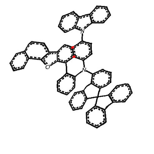 c1ccc(N(c2ccc(-n3c4ccccc4c4ccccc43)cc2)c2cccc3c2-c2ccccc2C32c3ccccc3-c3ccccc32)c(-c2cccc3c2oc2c4ccccc4ccc32)c1